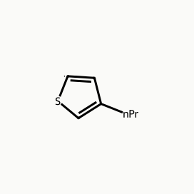 CCCc1c[c]sc1